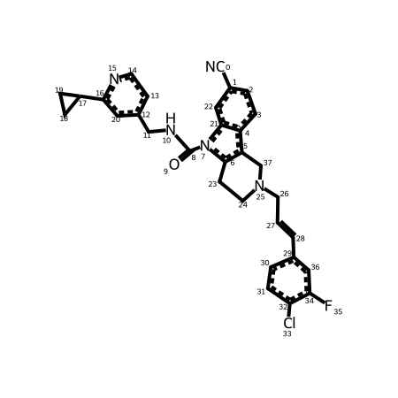 N#Cc1ccc2c3c(n(C(=O)NCc4ccnc(C5CC5)c4)c2c1)CCN(C/C=C/c1ccc(Cl)c(F)c1)C3